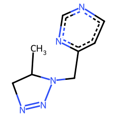 CC1CN=NN1Cc1ccncn1